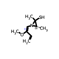 C=C/C(=C\N1[C@@H](C)C1(C)S)OC